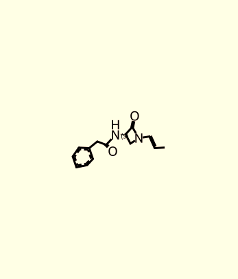 CC=CN1C[C@H](NC(=O)Cc2ccccc2)C1=O